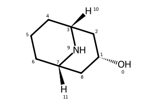 O[C@H]1C[C@H]2CCC[C@@H](C1)N2